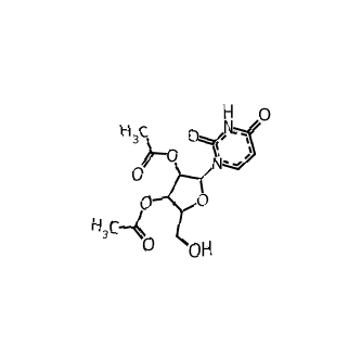 CC(=O)OC1C(CO)OC(n2ccc(=O)[nH]c2=O)C1OC(C)=O